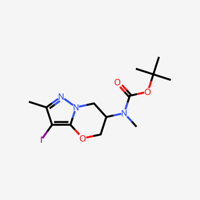 Cc1nn2c(c1I)OCC(N(C)C(=O)OC(C)(C)C)C2